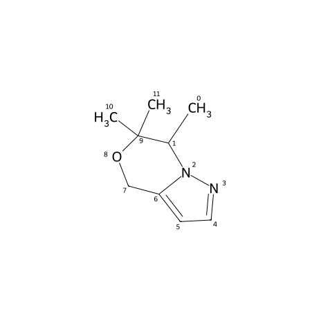 CC1n2nccc2COC1(C)C